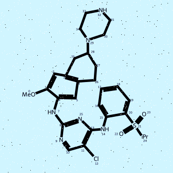 COc1cc2c(cc1Nc1ncc(Cl)c(Nc3ccccc3S(=O)(=O)C(C)C)n1)CCC(N1CCNCC1)C2